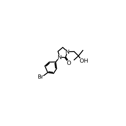 CC(C)(O)CN1CCN(c2ccc(Br)cc2)C1=O